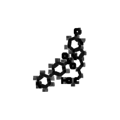 O=C(O)CCCc1cc2nc(Cl)ccc2n1S(=O)(=O)c1ccc(-c2ccncc2)cc1